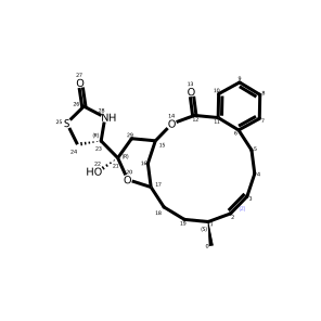 C[C@@H]1/C=C\CCc2ccccc2C(=O)OC2CC(CC1)O[C@@](O)([C@@H]1CSC(=O)N1)C2